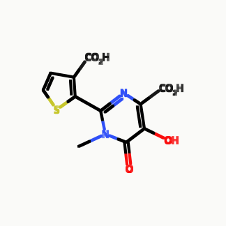 Cn1c(-c2sccc2C(=O)O)nc(C(=O)O)c(O)c1=O